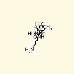 CC(C)(C)OC(=O)NC(=NC(=O)O)NCCCCCCN